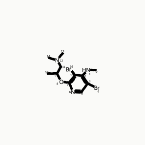 CNc1c(Br)cnc(OC(C)CN(C)C)c1Br